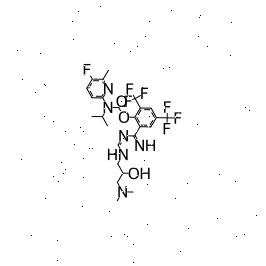 Cc1nc(N(C(=O)Oc2c(C(=N)/N=C\NCC(O)CN(C)C)cc(C(F)(F)F)cc2C(F)(F)F)C(C)C)ccc1F